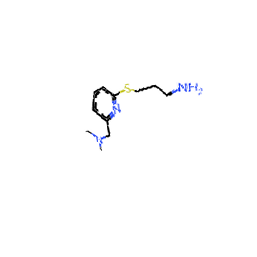 CN(C)Cc1cccc(SCCCN)n1